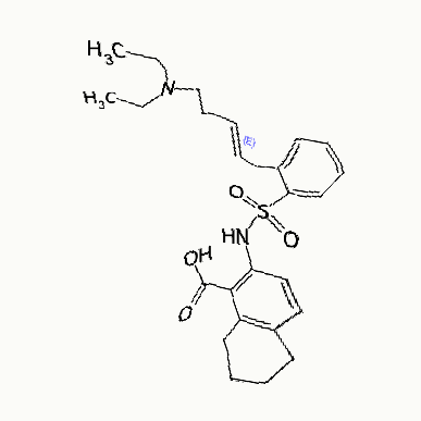 CCN(CC)CC/C=C/c1ccccc1S(=O)(=O)Nc1ccc2c(c1C(=O)O)CCCC2